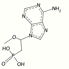 COC(CP(=O)(O)O)n1cnc2c(N)ncnc21